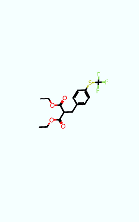 CCOC(=O)C(Cc1ccc(SC(F)(F)F)cc1)C(=O)OCC